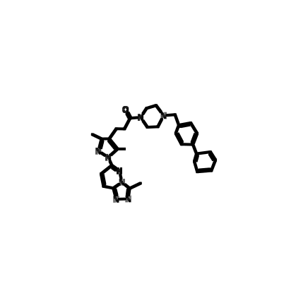 Cc1nn(-c2ccc3nnc(C)n3n2)c(C)c1CCC(=O)N1CCN(Cc2ccc(-c3ccccc3)cc2)CC1